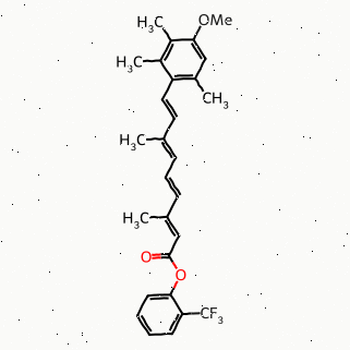 COc1cc(C)c(/C=C/C(C)=C/C=C/C(C)=C/C(=O)Oc2ccccc2C(F)(F)F)c(C)c1C